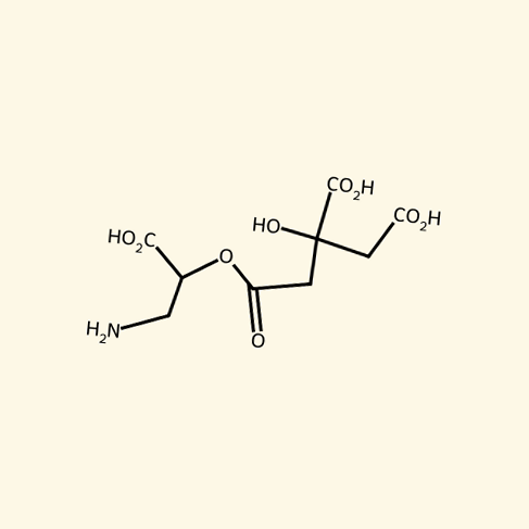 NCC(OC(=O)CC(O)(CC(=O)O)C(=O)O)C(=O)O